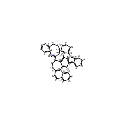 c1cnc2c(c1)/N=C(/C1CCc3ccc4ccccc4c3-c3cc4c5ccccc5n5c6ccccc6c(c31)c45)CCCC2